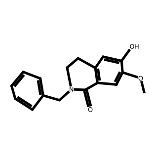 COc1cc2c(cc1O)CCN(Cc1ccccc1)C2=O